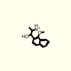 COc1c(C(O)C(C)N)ccc2ccccc12